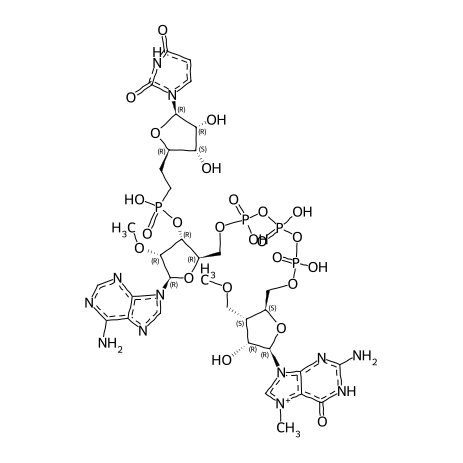 COC[C@H]1[C@@H](O)[C@H](n2c[n+](C)c3c(=O)[nH]c(N)nc32)O[C@@H]1COP(=O)(O)OP(=O)(O)OP(=O)(O)OC[C@H]1O[C@@H](n2cnc3c(N)ncnc32)[C@H](OC)[C@@H]1OP(=O)(O)CC[C@H]1O[C@@H](n2ccc(=O)[nH]c2=O)[C@H](O)[C@@H]1O